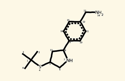 CC(C)(C)SC1CNC(c2ccc(CN)cc2)C1